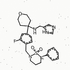 O=S1(=O)[C@@H](c2ccccc2)CCCN1Cc1ccc(C2(NCc3cnc[nH]3)CCOCC2)cc1F